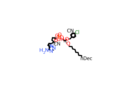 CCCCCCCCCCCCCCCCCCOC[C@H](COP(=O)(O)O[C@@H]1CC[C@](C#N)(c2ccc3c(N)ncnn23)O1)OCc1ccc(Cl)c(C#N)c1